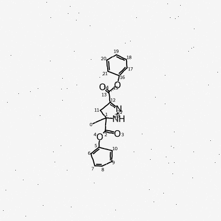 CC1(C(=O)Oc2ccccc2)CC(C(=O)Oc2ccccc2)=NN1